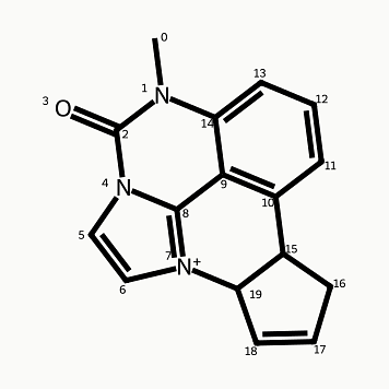 Cn1c(=O)n2cc[n+]3c2c2c(cccc21)C1CC=CC13